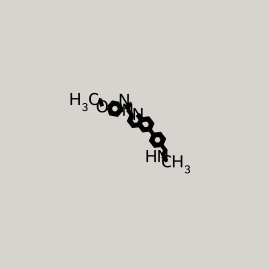 CCOc1ccc2c(c1)ncn2-c1ccc2cc(-c3ccc(CNC)cc3)ccc2n1